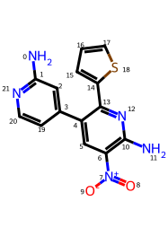 Nc1cc(-c2cc([N+](=O)[O-])c(N)nc2-c2cccs2)ccn1